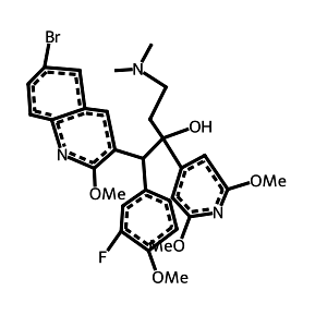 COc1cc(C(O)(CCN(C)C)C(c2ccc(OC)c(F)c2)c2cc3cc(Br)ccc3nc2OC)cc(OC)n1